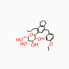 CCCc1c([C@@H]2O[C@H](CO)[C@@H](O)[C@H](O)[C@H]2O)cc(Cc2ccc(OCC)cc2)c2c1CCC2